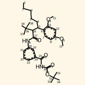 CCCCCC(c1ccc(OC)cc1OC)C(C(=O)Nc1cccc(C(=O)NC(=O)OC(C)(C)C)c1)C(C)(C)C